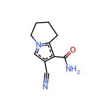 N#Cc1cn2c(c1C(N)=O)CCCC2